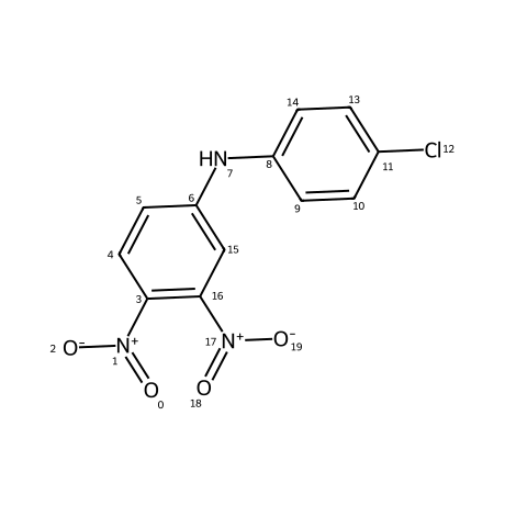 O=[N+]([O-])c1ccc(Nc2ccc(Cl)cc2)cc1[N+](=O)[O-]